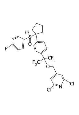 O=S(=O)(c1ccc(F)cc1)C1(c2ccc(C(OCc3cc(Cl)nc(Cl)c3)(C(F)(F)F)C(F)(F)F)cc2)CCCC1